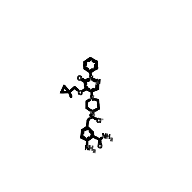 CC1(COc2c(N3CCN([S+]([O-])Cc4ccc(N)c(C(N)=O)c4)CC3)cnn(-c3ccccc3)c2=O)CC1